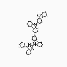 c1ccc(-c2nc(-n3c4ccccc4c4cc(-c5ccc6c(c5)c5ccccc5n6-c5ccc6c(c5)oc5ccccc56)ccc43)nc3ccccc23)cc1